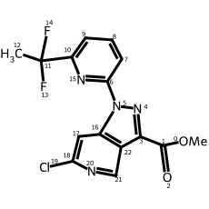 COC(=O)c1nn(-c2cccc(C(C)(F)F)n2)c2cc(Cl)ncc12